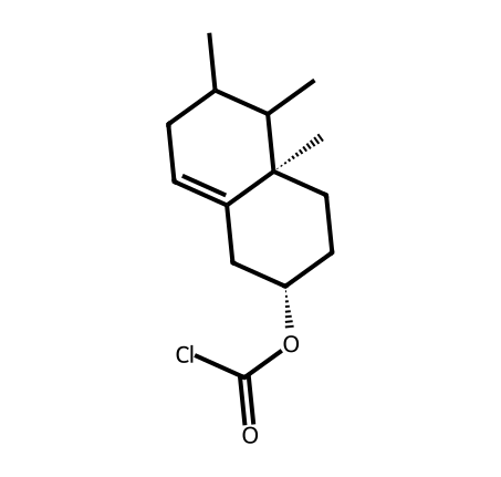 CC1CC=C2C[C@@H](OC(=O)Cl)CC[C@]2(C)C1C